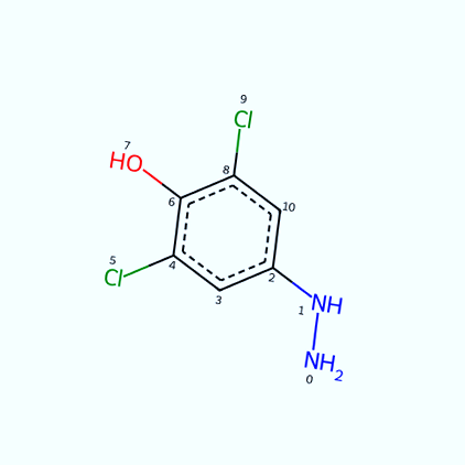 NNc1cc(Cl)c(O)c(Cl)c1